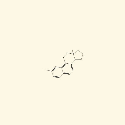 CC12CCCC1c1ccc3ccc(O)cc3c1CC2